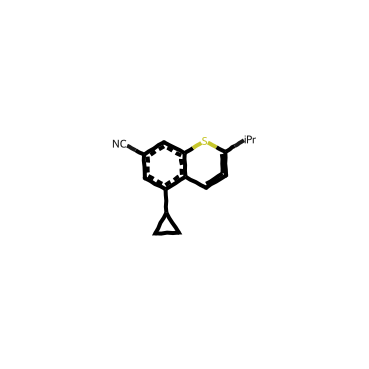 CC(C)C1=C=Cc2c(cc(C#N)cc2C2CC2)S1